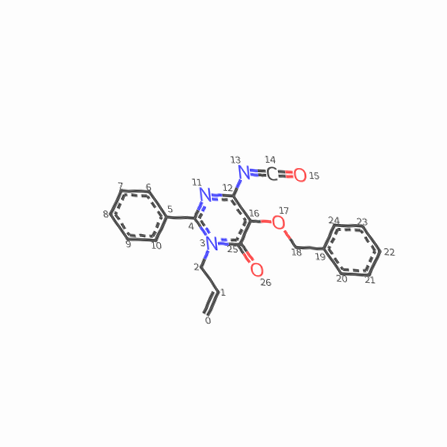 C=CCn1c(-c2ccccc2)nc(N=C=O)c(OCc2ccccc2)c1=O